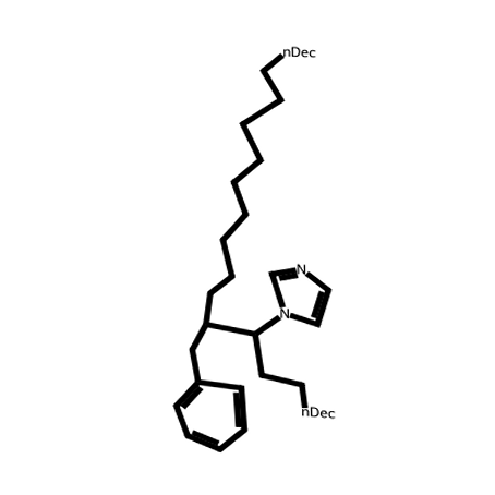 CCCCCCCCCCCCCCCCCCCC(Cc1ccccc1)C(CCCCCCCCCCCC)n1ccnc1